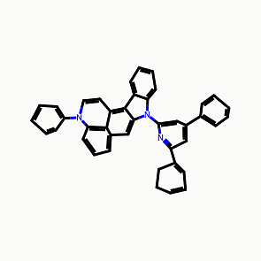 C1=CCCC(c2cc(-c3ccccc3)cc(-n3c4ccccc4c4c5c6c(cccc6cc43)N(c3ccccc3)C=C5)n2)=C1